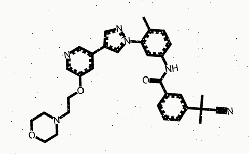 Cc1ccc(NC(=O)c2cccc(C(C)(C)C#N)c2)cc1-n1cc(-c2cncc(OCCN3CCOCC3)c2)cn1